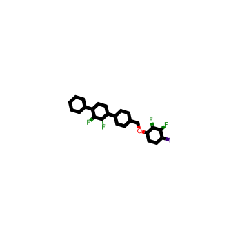 FC1C(I)CCC(OCC2CCC(C3CCC(C4CCCCC4)C(F)[C@H]3F)CC2)C1F